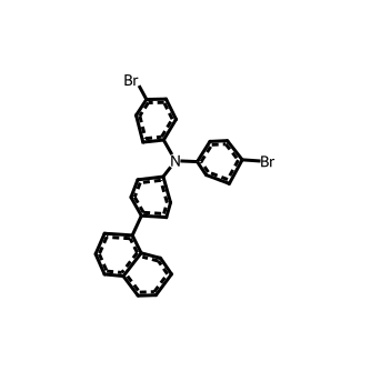 Brc1ccc(N(c2ccc(Br)cc2)c2ccc(-c3cccc4ccccc34)cc2)cc1